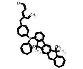 C=C/C(=C\C=C/CC)CC1=CCC=C(N(C2=CC=CCC=C2)c2cccc3c2C(C)(C)c2cc4c(cc2-3)C(C)(C)C2=CC=CCC=C2C4)C=C1